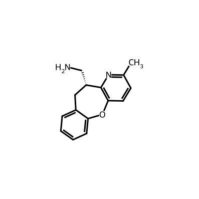 Cc1ccc2c(n1)[C@@H](CN)Cc1ccccc1O2